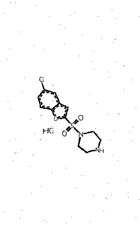 Cl.O=S(=O)(c1cc2cc(Cl)ccc2o1)N1CCNCC1